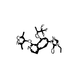 CCn1cnn(-c2cc(OC(C)C(F)(F)F)c3c(Oc4c(C)noc4C)nccc3c2)c1=O